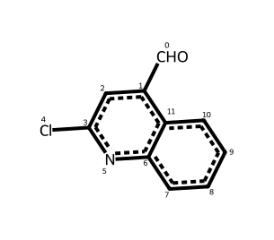 O=Cc1cc(Cl)nc2ccccc12